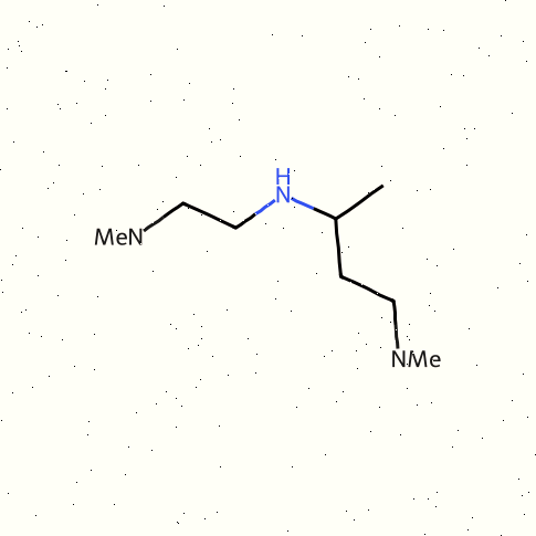 CNCCNC(C)CCNC